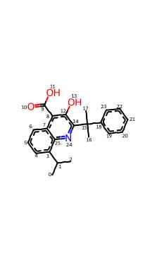 CC(C)c1cccc2c(C(=O)O)c(O)c(C(C)(C)c3ccccc3)nc12